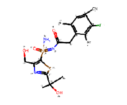 CC(C)c1cc(C#N)c(F)c(C(C)C)c1CC(=O)N=[S@](N)(=O)c1sc(C(C)(C)O)nc1CO